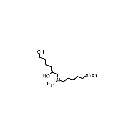 CCCCCCCCCCCCCCN(C)CC(O)CCCCO